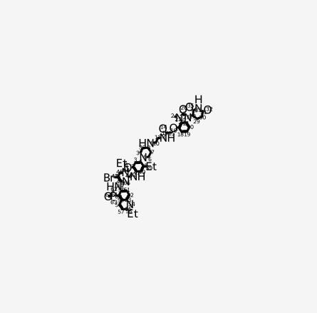 CCOc1cc(N2CCC(NCCNC(=O)COc3cccc4c3n(C)c(=O)n4C3CCC(=O)NC3=O)CC2)c(CC)cc1Nc1ncc(Br)c(Nc2ccc3nc(CC)ccc3c2P(C)(C)=O)n1